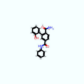 NC(=O)c1ccc(C(=O)Nc2ccccc2)cc1-c1ccccc1O